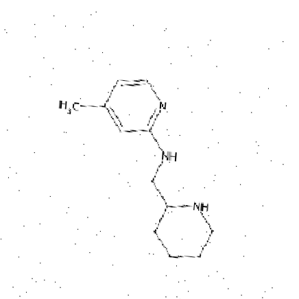 Cc1ccnc(NCC2CCCCN2)c1